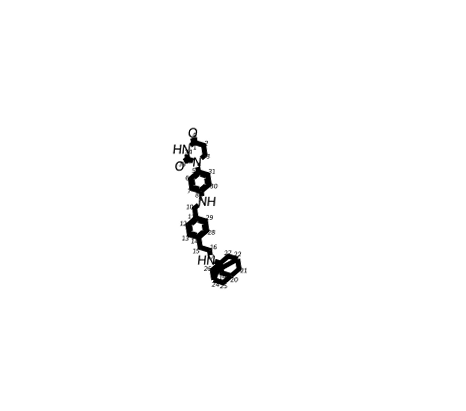 O=C1CCN(c2ccc(NCc3ccc(CCNC45CC6CC(CC(C6)C4)C5)cc3)cc2)C(=O)N1